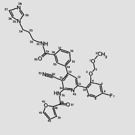 COCOc1cc(F)ccc1-c1cc(-c2cccc(C(=O)NCCCn3ccnc3)c2)c(C#N)c(NC(=O)c2ccco2)n1